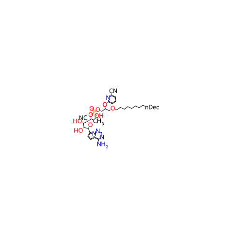 CCCCCCCCCCCCCCCCCCOCC(COP(=O)(O)O[C@@H](C)[C@@]1(C#N)O[C@@H](c2ccc3c(N)ncnn23)[C@H](O)[C@@H]1O)Oc1cccc(C#N)n1